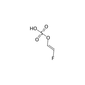 O=S(=O)(O)OC=CF